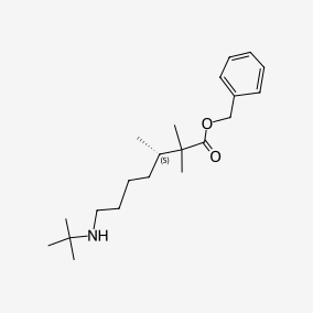 C[C@@H](CCCCNC(C)(C)C)C(C)(C)C(=O)OCc1ccccc1